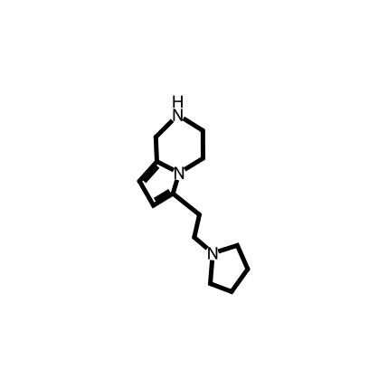 c1cc2n(c1CCN1CCCC1)CCNC2